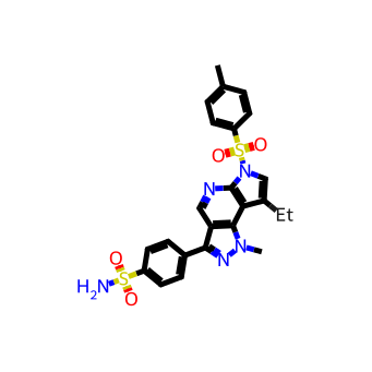 CCc1cn(S(=O)(=O)c2ccc(C)cc2)c2ncc3c(-c4ccc(S(N)(=O)=O)cc4)nn(C)c3c12